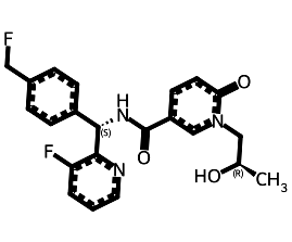 C[C@@H](O)Cn1cc(C(=O)N[C@@H](c2ccc(CF)cc2)c2ncccc2F)ccc1=O